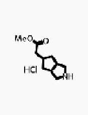 COC(=O)CC1CC2CNCC2C1.Cl